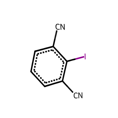 N#Cc1cccc(C#N)c1I